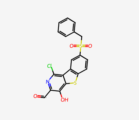 O=[C]c1nc(Cl)c2c(sc3ccc(S(=O)(=O)Cc4ccccc4)cc32)c1O